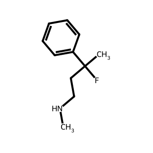 CNCCC(C)(F)c1ccccc1